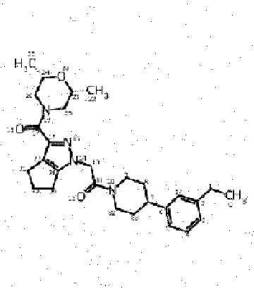 CCc1cccc(C2CCN(C(=O)Cn3nc(C(=O)N4C[C@@H](C)O[C@@H](C)C4)c4c3CCC4)CC2)c1